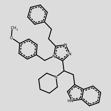 COc1ccc(Cn2c(CCc3ccccc3)nnc2C(Cc2c[nH]c3ccccc23)N2CCCCC2)cc1